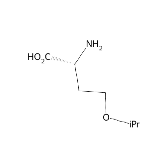 CC(C)OCC[C@@H](N)C(=O)O